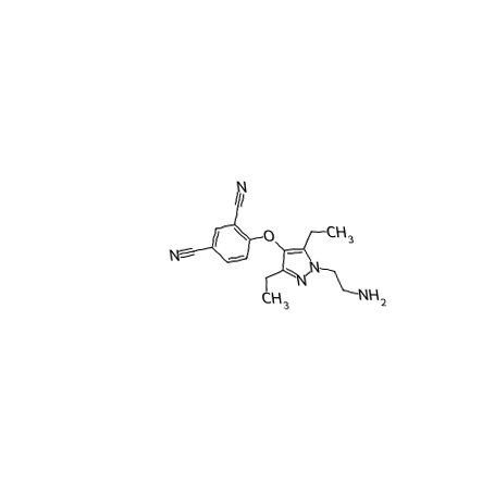 CCc1nn(CCN)c(CC)c1Oc1ccc(C#N)cc1C#N